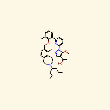 C=C(O)c1cnn(-c2cccc(-c3cccc(C)c3OCc3ccc4c(c3C)CCN(C(CCC)CCC)CC4)n2)c1OC